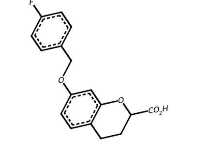 O=C(O)C1CCc2ccc(OCc3ccc(F)cc3)cc2O1